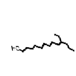 CCCC(CC)CCCCCCCCCO